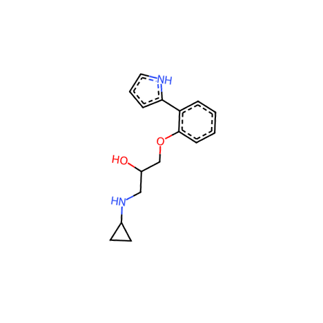 OC(CNC1CC1)COc1ccccc1-c1ccc[nH]1